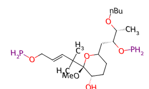 CCCCO[C@H](C)[C@@H](CC1CC[C@H](O)[C@](OC)(C(C)(C)/C=C/COP)O1)OP